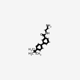 CC(C)(C)c1ccc(-c2c[c]cc(C(=O)NCCN)c2)cc1